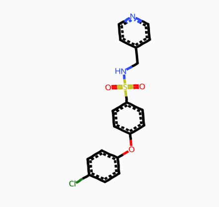 O=S(=O)(NCc1ccncc1)c1ccc(Oc2ccc(Cl)cc2)cc1